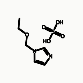 CCOCn1ccnc1.O=S(=O)(O)O